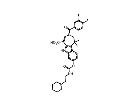 CC1(C)CN(C(=O)c2ccc(F)c(F)c2)C=C(C(=O)O)c2[nH]c3cc(OC(=O)NCCN4CCCCC4)ccc3c21